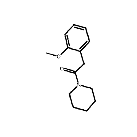 COc1ccccc1CC(=O)N1CCCCC1